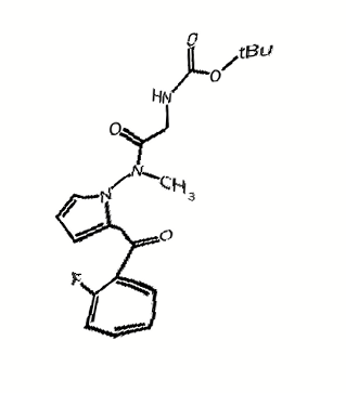 CN(C(=O)CNC(=O)OC(C)(C)C)n1cccc1C(=O)c1ccccc1F